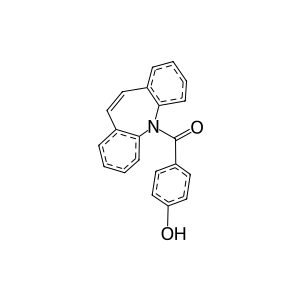 O=C(c1ccc(O)cc1)N1c2ccccc2C=Cc2ccccc21